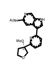 CO[C@@]1(c2cccc(-c3c[nH]c4cnc(NC(C)=O)cc34)n2)CCOC1